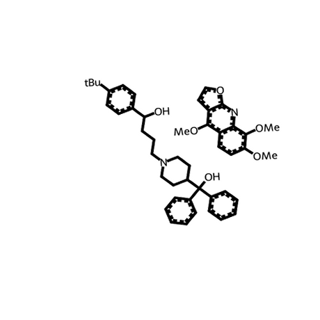 CC(C)(C)c1ccc(C(O)CCCN2CCC(C(O)(c3ccccc3)c3ccccc3)CC2)cc1.COc1ccc2c(OC)c3ccoc3nc2c1OC